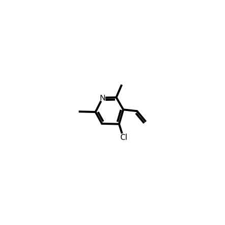 C=Cc1c(Cl)cc(C)nc1C